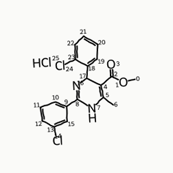 COC(=O)C1=C(C)NC(c2cccc(Cl)c2)=NC1c1ccccc1Cl.Cl